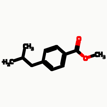 [CH2]C(C)Cc1ccc(C(=O)OC)cc1